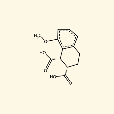 COc1cccc2c1[C@@H](C(=O)O)[C@@H](C(=O)O)CC2